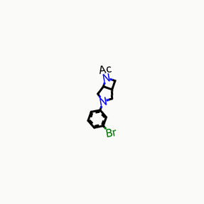 CC(=O)N1CC2CN(c3cccc(Br)c3)CC21